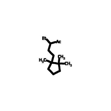 CCC(CCC1(C)CCCC1(C)C)C(C)=O